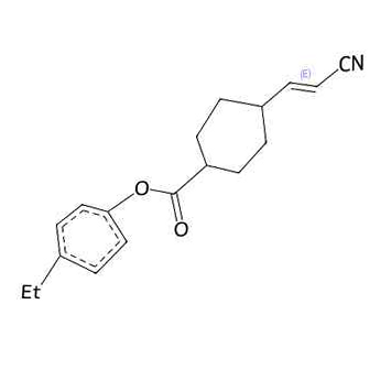 CCc1ccc(OC(=O)C2CCC(/C=C/C#N)CC2)cc1